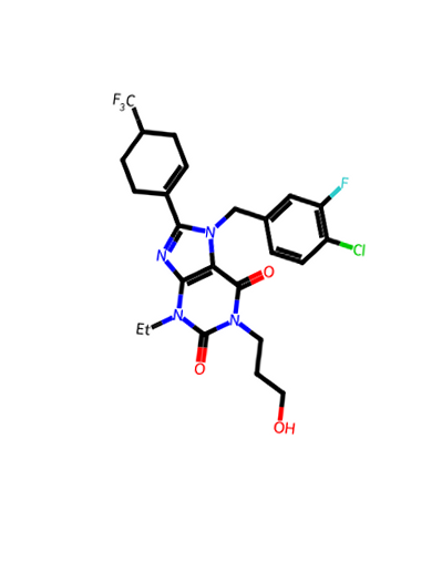 CCn1c(=O)n(CCCO)c(=O)c2c1nc(C1=CCC(C(F)(F)F)CC1)n2Cc1ccc(Cl)c(F)c1